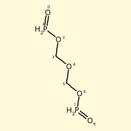 O=[PH2]OCOCO[PH2]=O